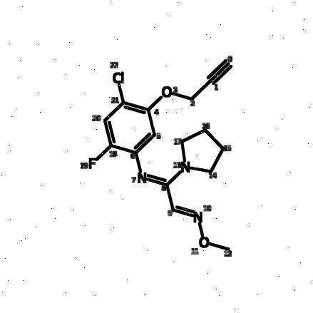 C#CCOc1cc(N=C(C=NOC)N2CCCC2)c(F)cc1Cl